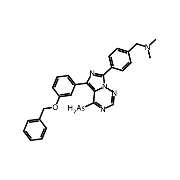 CN(C)Cc1ccc(-c2nc(-c3cccc(OCc4ccccc4)c3)c3c([AsH2])ncnn23)cc1